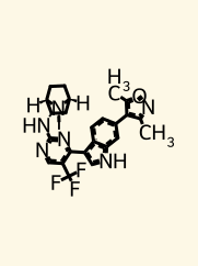 Cc1noc(C)c1-c1ccc2c(-c3nc(N[C@H]4C[C@H]5CC[C@@H]4N5I)ncc3C(F)(F)F)c[nH]c2c1